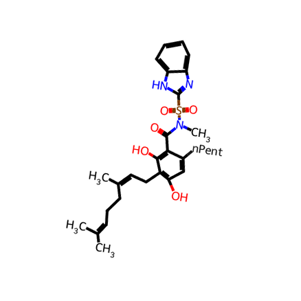 CCCCCc1cc(O)c(CC=C(C)CCC=C(C)C)c(O)c1C(=O)N(C)S(=O)(=O)c1nc2ccccc2[nH]1